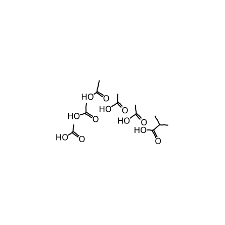 CC(=O)O.CC(=O)O.CC(=O)O.CC(=O)O.CC(=O)O.CC(C)C(=O)O